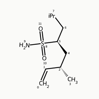 C=C[C@@H](C)C[C@H](CC(C)C)S(N)(=O)=O